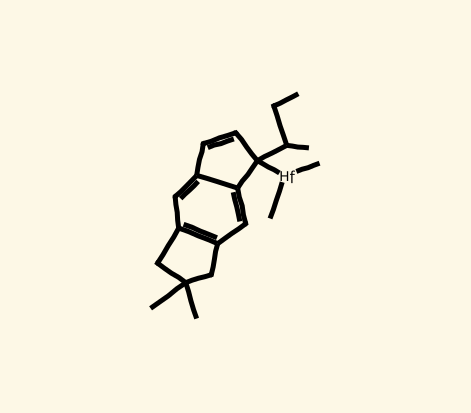 CCC(C)[C]1([Hf]([CH3])[CH3])C=Cc2cc3c(cc21)CC(C)(C)C3